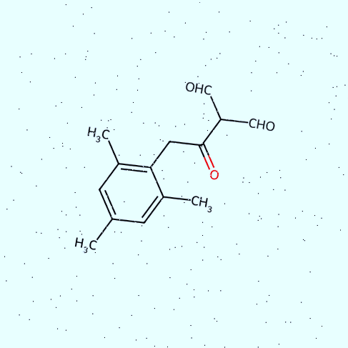 Cc1cc(C)c(CC(=O)C(C=O)C=O)c(C)c1